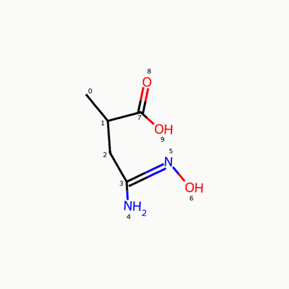 CC(CC(N)=NO)C(=O)O